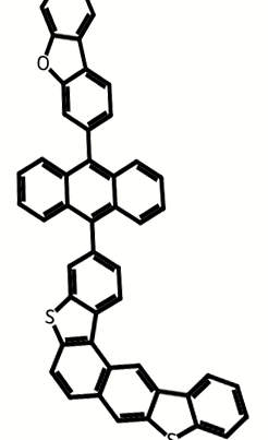 c1ccc2c(c1)oc1cc(-c3c4ccccc4c(-c4ccc5c(c4)sc4ccc6cc7sc8ccccc8c7cc6c45)c4ccccc34)ccc12